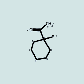 [CH2]C(=O)C1(F)CCCCC1